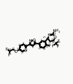 C[C@@]1(c2cc(-c3cc(-c4ccc(OCC(F)F)cn4)no3)ccc2F)C[C@@H](C(F)(F)F)OC(N)=N1